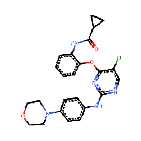 O=C(Nc1ccccc1Oc1nc(Nc2ccc(N3CCOCC3)cc2)ncc1Cl)C1CC1